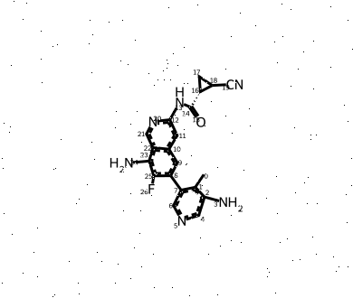 Cc1c(N)cncc1-c1cc2cc(NC(=O)[C@@H]3CC3C#N)ncc2c(N)c1F